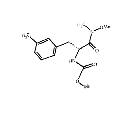 CON(C)C(=O)[C@@H](Cc1cccc(C)c1)NC(=O)OC(C)(C)C